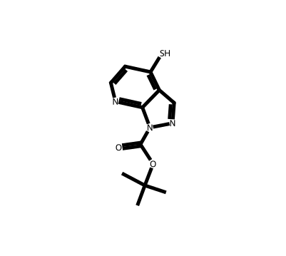 CC(C)(C)OC(=O)n1ncc2c(S)ccnc21